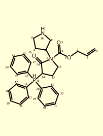 C=CCOC(=O)[N+]1(C2CCNC2)CCC([PH](c2ccccc2)(c2ccccc2)c2ccccc2)C1=O